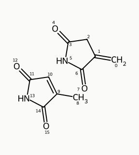 C=C1CC(=O)NC1=O.CC1=CC(=O)NC1=O